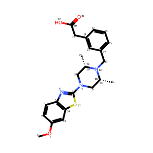 COc1ccc2nc(N3C[C@@H](C)N(Cc4cccc(CC(=O)O)c4)[C@@H](C)C3)sc2c1